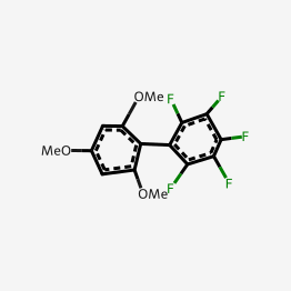 COc1cc(OC)c(-c2c(F)c(F)c(F)c(F)c2F)c(OC)c1